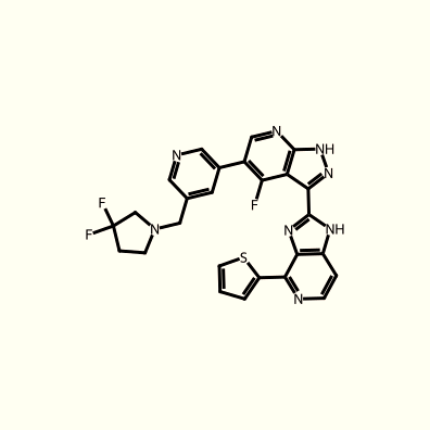 Fc1c(-c2cncc(CN3CCC(F)(F)C3)c2)cnc2[nH]nc(-c3nc4c(-c5cccs5)nccc4[nH]3)c12